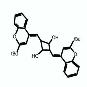 CC(C)(C)C1=C/C(=C\C2C(O)C(/C=C3\C=C(C(C)(C)C)Oc4ccccc43)C2O)c2ccccc2O1